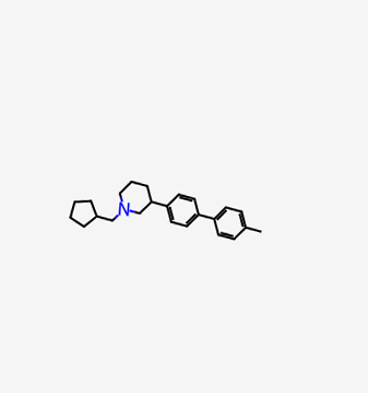 Cc1ccc(-c2ccc(C3CCCN(CC4CCCC4)C3)cc2)cc1